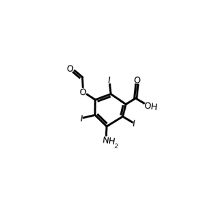 Nc1c(I)c(OC=O)c(I)c(C(=O)O)c1I